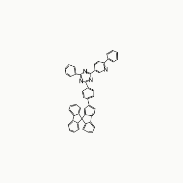 c1ccc(-c2ccc(-c3nc(-c4ccccc4)nc(-c4ccc(-c5ccc6c(c5)C5(c7ccccc7-c7ccccc75)c5ccccc5-6)cc4)n3)cn2)cc1